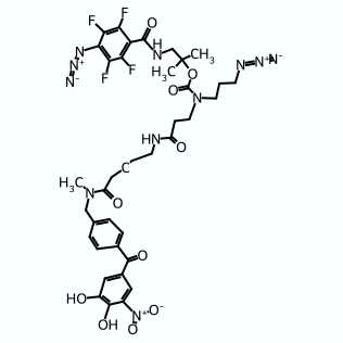 CN(Cc1ccc(C(=O)c2cc(O)c(O)c([N+](=O)[O-])c2)cc1)C(=O)CCCCNC(=O)CCN(CCCN=[N+]=[N-])C(=O)OC(C)(C)CNC(=O)c1c(F)c(F)c(N=[N+]=[N-])c(F)c1F